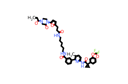 C=CC(=O)N1CCN(c2ccc(CCC(=O)NCCCCCCNC(=O)c3cccc(-c4nc(NC(=O)C5(c6ccc7c(c6)OC(F)(F)O7)CC5)ccc4C)c3)o2)C(=O)C1